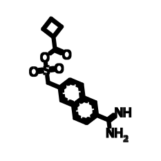 N=C(N)c1ccc2cc(CS(=O)(=O)OC(=O)C3CCC3)ccc2c1